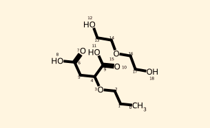 CCCOC(CC(=O)O)C(=O)O.OCCOCCO